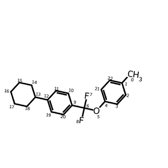 Cc1ccc(OC(F)(F)c2ccc(C3CCCCC3)cc2)cc1